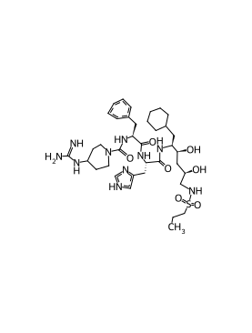 CCCS(=O)(=O)NC[C@H](O)C[C@H](O)[C@H](CC1CCCCC1)NC(=O)[C@H](Cc1c[nH]cn1)NC(=O)[C@H](Cc1ccccc1)NC(=O)N1CCC(NC(=N)N)CC1